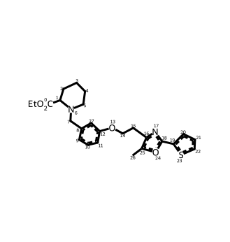 CCOC(=O)C1CCCCN1Cc1cccc(OCCc2nc(-c3cccs3)oc2C)c1